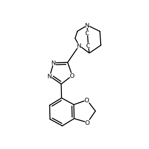 c1cc2c(c(-c3nnc(N4CCN5CCC4CC5)o3)c1)OCO2